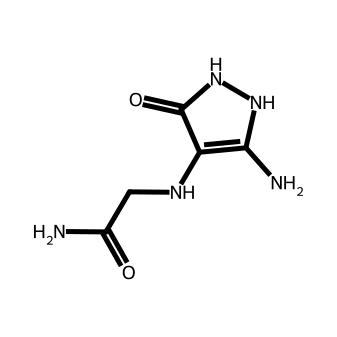 NC(=O)CNc1c(N)[nH][nH]c1=O